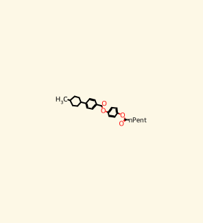 CCCCCC(=O)Oc1ccc(OC(=O)c2ccc(C3CCC(C)CC3)cc2)cc1